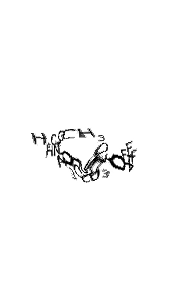 COC[C@H](C)Nc1cc(CN2C(=O)N(c3ccc(C4(C(F)(F)F)CC4)cc3)C(=O)C2(C)C)ccn1